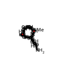 CNC(=O)C[C@@H]1NC(=O)c2csc(n2)-c2ccc(-c3nc(NC(=O)[C@H]4CC[C@H](C(=O)NCCCCN)CC4)cs3)nc2-c2csc(n2)-c2csc(n2)[C@H]([C@@H](O)c2ccccc2)NC(=O)CNC(=O)c2nc(sc2COC)[C@H](C(C)C)N(N)C(=O)c2nc1sc2C